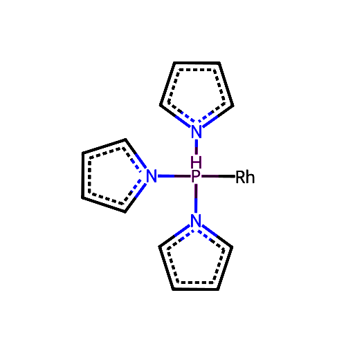 [Rh][PH](n1cccc1)(n1cccc1)n1cccc1